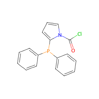 O=C(Cl)n1cccc1P(c1ccccc1)c1ccccc1